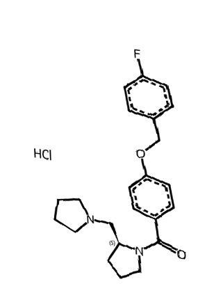 Cl.O=C(c1ccc(OCc2ccc(F)cc2)cc1)N1CCC[C@H]1CN1CCCC1